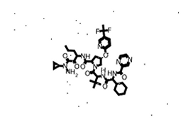 CCCC(NC(=O)C1C[C@H](Oc2ccc(C(C)(F)F)cn2)CN1C(=O)C(NC(=O)C(NC(=O)c1cnccn1)C1CCCCC1)C(C)(C)C)C(=O)C(=O)N(N)C1CC1